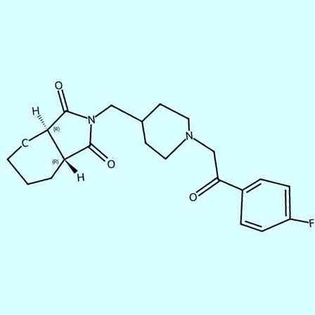 O=C(CN1CCC(CN2C(=O)[C@@H]3CCCC[C@H]3C2=O)CC1)c1ccc(F)cc1